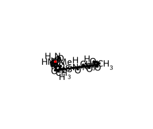 CO[C@@]12[C@H](COC(N)=O)C3=C(C(=O)C(C)=C(NCCSSCCNC(=O)CC/C(C)=N/NC(=O)CCN4C(=O)CC(C)C4=O)C3=O)N1CC1N[C@@H]12